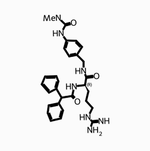 CNC(=O)Nc1ccc(CNC(=O)[C@@H](CCCNC(=N)N)NC(=O)C(c2ccccc2)c2ccccc2)cc1